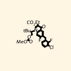 CCOC(=O)c1cn([C@H](COC(=O)OC)C(C)(C)C)c2cc(F)c(Cc3cccc(Cl)c3F)cc2c1=O